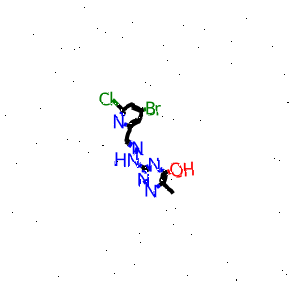 Cc1nnc(N/N=C/c2cc(Br)cc(Cl)n2)nc1O